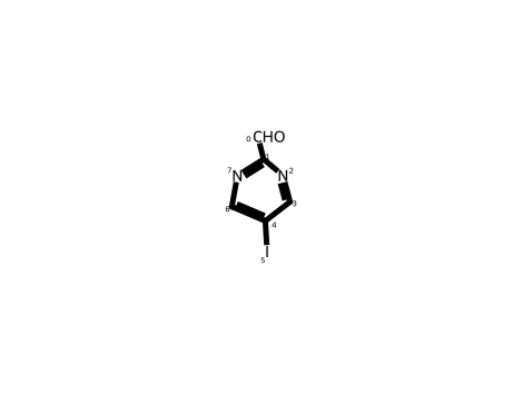 O=Cc1ncc(I)cn1